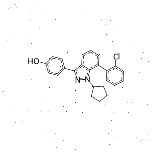 Oc1ccc(-c2nn(C3CCCC3)c3c(-c4ccccc4Cl)cccc23)cc1